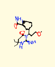 CCC1(CC)CC(=O)N(C(CCOC)c2cccc(C(N)=O)c2)C(=N)N1